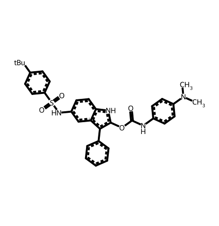 CN(C)c1ccc(NC(=O)Oc2[nH]c3ccc(NS(=O)(=O)c4ccc(C(C)(C)C)cc4)cc3c2-c2ccccc2)cc1